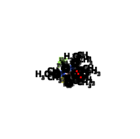 CC(C)(C)c1ccc(N2c3cc(C(F)(F)F)cc4c3B(c3cc(C(C)(C)C)ccc3N4c3ccc(C(C)(C)C)cc3-c3ccc4c(c3)C(C)(C)CCC4(C)C)c3c2sc2ccccc32)cc1